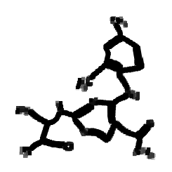 Cc1ccc(Nc2nc(NC(C(N)=O)C(C)C)ncc2C(N)=O)c(C)c1